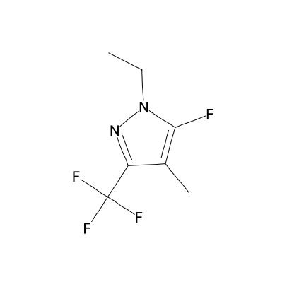 CCn1nc(C(F)(F)F)c(C)c1F